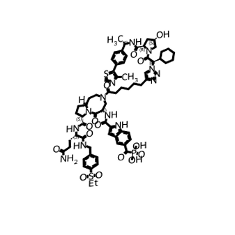 CCS(=O)(=O)c1ccc(CNC(=O)[C@H](CCC(N)=O)NC(=O)[C@@H]2CC[C@@H]3CCN(C(=O)CCCCCc4cn([C@@H](C(=O)N5C[C@@H](O)C[C@@H]5C(=O)N[C@@H](C)c5ccc(-c6scnc6C)cc5)C5CCCCC5)nn4)C[C@H](NC(=O)c4cc5cc(C(=O)P(=O)(O)O)ccc5[nH]4)C(=O)N32)cc1